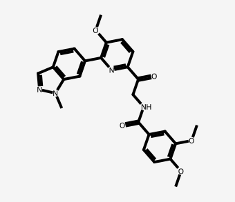 COc1ccc(C(=O)NCC(=O)c2ccc(OC)c(-c3ccc4cnn(C)c4c3)n2)cc1OC